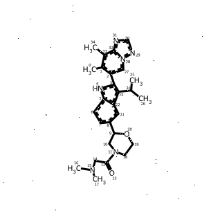 Cc1c(-c2[nH]c3ccc(C4CN(C(=O)CN(C)C)CCO4)cc3c2C(C)C)cn2ncnc2c1C